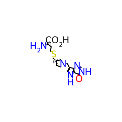 N[C@@H](CCSC[C@@H]1CCN(Cc2c[nH]c3c(=O)[nH]cnc23)C1)C(=O)O